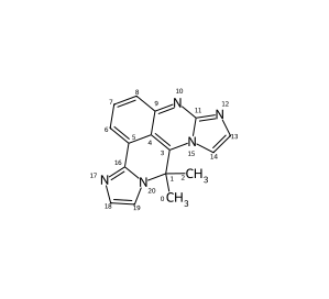 CC1(C)c2c3c(cccc3nc3nccn23)-c2nccn21